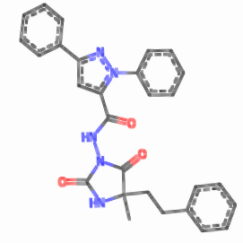 CC1(CCc2ccccc2)NC(=O)N(NC(=O)c2cc(-c3ccccc3)nn2-c2ccccc2)C1=O